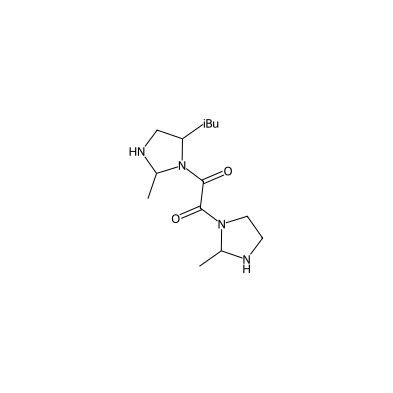 CCC(C)C1CNC(C)N1C(=O)C(=O)N1CCNC1C